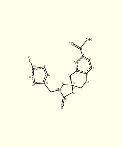 O=C(O)c1ccc2c(c1)C[C@@]1(CC2)CC(=O)N(Cc2ccc(F)cc2)C1